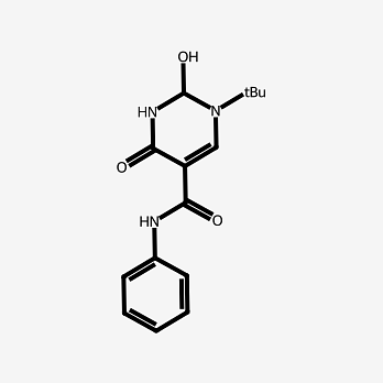 CC(C)(C)N1C=C(C(=O)Nc2ccccc2)C(=O)NC1O